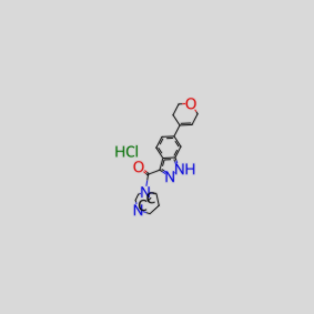 Cl.O=C(c1n[nH]c2cc(C3=CCOCC3)ccc12)N1CCN2CCC1CC2